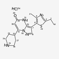 CCc1nc(C)c(-c2cnn3c(C4CCNCC4)cc(=O)[nH]c23)s1.Cl